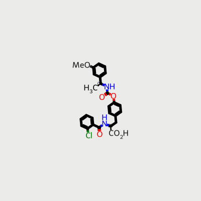 COc1cccc([C@H](C)NC(=O)Oc2ccc(C[C@H](NC(=O)c3ccccc3Cl)C(=O)O)cc2)c1